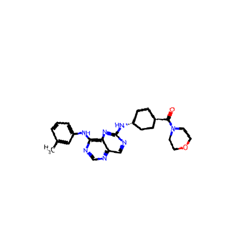 Cc1cccc(Nc2ncnc3cnc(N[C@H]4CC[C@H](C(=O)N5CCOCC5)CC4)nc23)c1